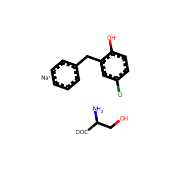 NC(CO)C(=O)[O-].Oc1ccc(Cl)cc1Cc1ccccc1.[Na+]